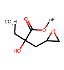 CCCOC(=O)C(O)(CC(=O)O)CC1CO1